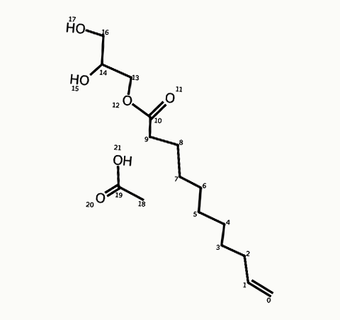 C=CCCCCCCCCC(=O)OCC(O)CO.CC(=O)O